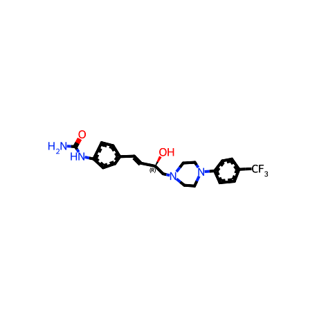 NC(=O)Nc1ccc(C=C[C@@H](O)CN2CCN(c3ccc(C(F)(F)F)cc3)CC2)cc1